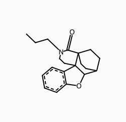 CCCN1CCC23c4ccccc4OC2C2CCC3(CC2)C1=O